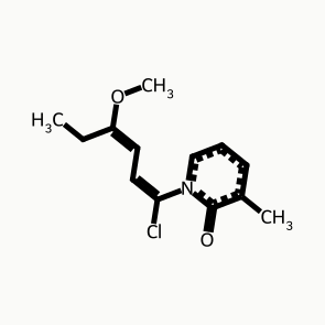 CC/C(=C\C=C(\Cl)n1cccc(C)c1=O)OC